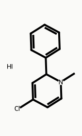 CN1C=CC(Cl)=CC1c1ccccc1.I